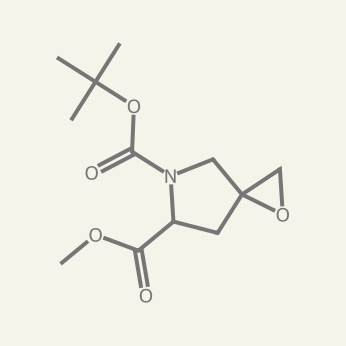 COC(=O)C1CC2(CO2)CN1C(=O)OC(C)(C)C